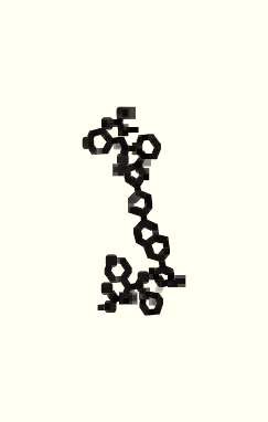 COC(=O)N[C@H](C(=O)N1CCCC[C@H]1c1nc(-c2ccc3cc(-c4ccc(-c5c[nH]c([C@@H]6CCCCN6C(=O)[C@H](C6CCOCC6)N(C)C(=O)O)n5)cc4)ccc3c2)c[nH]1)C1CCOCC1